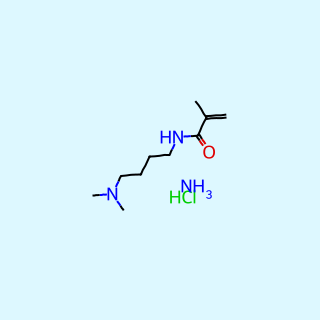 C=C(C)C(=O)NCCCCN(C)C.Cl.N